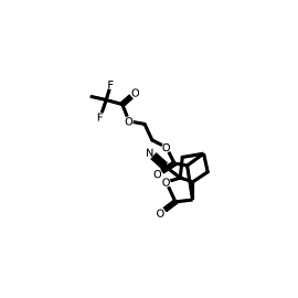 CC(F)(F)C(=O)OCCOC(=O)C1C2CC3C1C(=O)OC3(C#N)C2